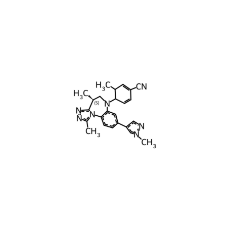 Cc1nnc2n1-c1ccc(-c3cnn(C)c3)cc1N(C1C=CC(C#N)=CC1C)C[C@@H]2C